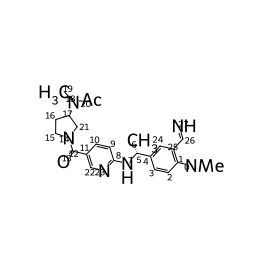 CNc1ccc([C@@H](C)Nc2ccc(C(=O)N3CC[C@H](N(C)C(C)=O)C3)cn2)cc1C=N